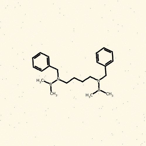 CB(C)N(CCCCN(Cc1ccccc1)B(C)C)Cc1ccccc1